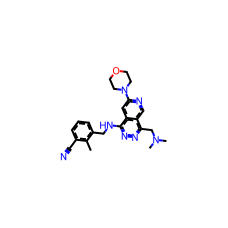 Cc1c(C#N)cccc1CNc1nnc(CN(C)C)c2cnc(N3CCOCC3)cc12